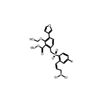 CCN(CC)C/C=C\c1cc(F)ccc1S(=O)(=O)Cc1ccc(-c2ccoc2)c(OCC#N)c1C(=O)OC(C)(C)C